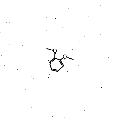 COc1cc[c]nc1OC